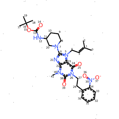 CC(C)=CCn1c(N2CCCC(NC(=O)OC(C)(C)C)C2)nc2c1c(=O)n(CCc1ccccc1[N+](=O)[O-])c(=O)n2C